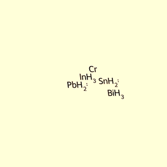 [BiH3].[Cr].[InH3].[PbH2].[SnH2]